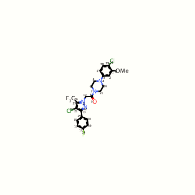 COc1cc(N2CCN(C(=O)Cn3nc(-c4ccc(F)cc4)c(Cl)c3C(F)(F)F)CC2)ccc1Cl